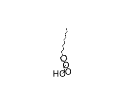 CCCCCCCCCc1ccc(OCC(=O)O)cc1